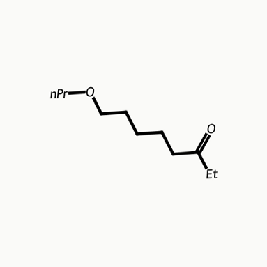 CCCOCCCCCC(=O)CC